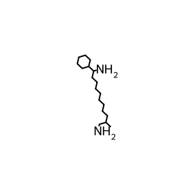 CC(CN)CCCCCCCCC(N)C1CCCCC1